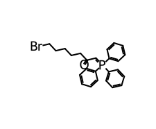 O=C(C=P(c1ccccc1)(c1ccccc1)c1ccccc1)CCCCCBr